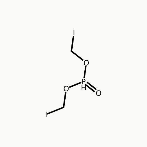 O=[PH](OCI)OCI